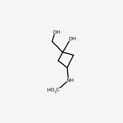 O=C(O)NC1CC(O)(CO)C1